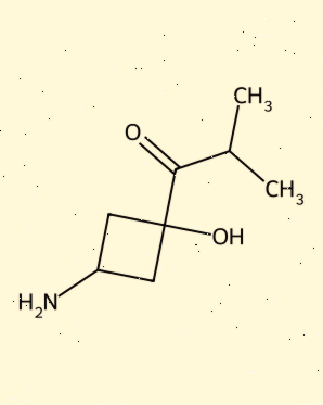 CC(C)C(=O)C1(O)CC(N)C1